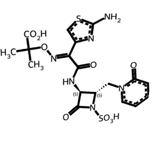 CC(C)(ON=C(C(=O)N[C@@H]1C(=O)N(S(=O)(=O)O)[C@H]1Cn1ccccc1=O)c1csc(N)n1)C(=O)O